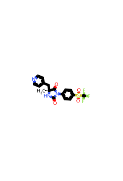 C[C@@]1(Cc2ccncc2)NC(=O)N(c2ccc(S(=O)(=O)C(F)(F)F)cc2)C1=O